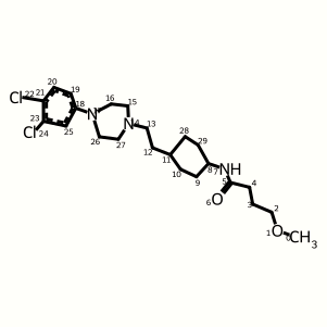 COCCCC(=O)NC1CCC(CCN2CCN(c3ccc(Cl)c(Cl)c3)CC2)CC1